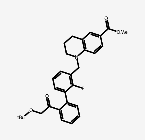 COC(=O)c1ccc2c(c1)CCCN2Cc1cccc(-c2ccccc2C(=O)COC(C)(C)C)c1F